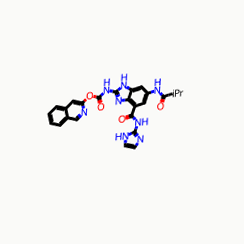 CC(C)C(=O)Nc1cc(C(=O)Nc2ncc[nH]2)c2nc(NC(=O)Oc3cc4ccccc4cn3)[nH]c2c1